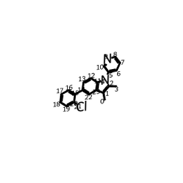 Cc1c(C)n(-c2cccnc2)c2ccc(-c3ccccc3Cl)cc12